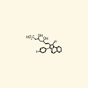 CC(C)c1c(C=CC(O)CC(O)CC(=O)O)c(-c2ccc(F)cc2)n2ccc3ccccc3c12